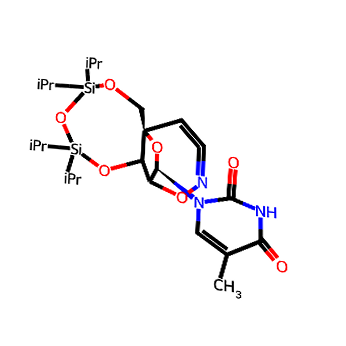 Cc1cn([C@@H]2O[C@@]34C=C=NOC2C3O[Si](C(C)C)(C(C)C)O[Si](C(C)C)(C(C)C)OC4)c(=O)[nH]c1=O